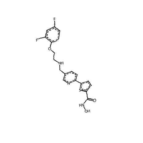 O=C(NO)c1ccc(-c2ccc(CNCCOc3ccc(F)cc3F)cn2)s1